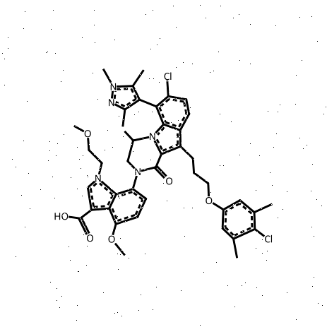 COCCn1cc(C(=O)O)c2c(OC)ccc(N3CC(C)n4c(c(CCCOc5cc(C)c(Cl)c(C)c5)c5ccc(Cl)c(-c6c(C)nn(C)c6C)c54)C3=O)c21